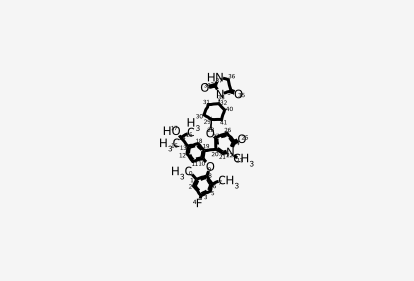 Cc1cc(F)cc(C)c1Oc1ccc(C(C)(C)O)cc1-c1cn(C)c(=O)cc1O[C@H]1CC[C@H](N2C(=O)CNC2=O)CC1